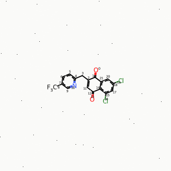 O=C1C(Cc2ccc(C(F)(F)F)cn2)=CC(=O)c2c(Cl)cc(Cl)cc21